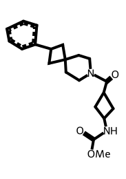 COC(=O)NC1CC(C(=O)N2CCC3(CC2)CC(c2ccccc2)C3)C1